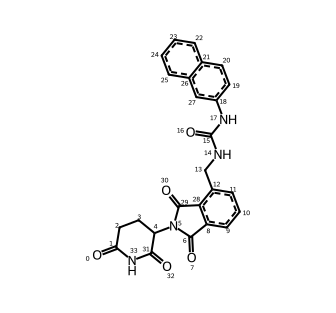 O=C1CCC(N2C(=O)c3cccc(CNC(=O)Nc4ccc5ccccc5c4)c3C2=O)C(=O)N1